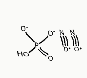 N#[O+].N#[O+].O=P([O-])([O-])O